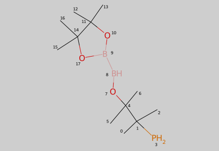 CC(C)(P)C(C)(C)OBB1OC(C)(C)C(C)(C)O1